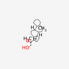 C[C@]12CC[C@H]3[C@@H](CCC4CCCC[C@@]43C)[C@@H]1CC[C@H]2C(=O)CO